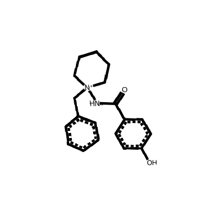 O=C(N[N+]1(Cc2ccccc2)CCCCC1)c1ccc(O)cc1